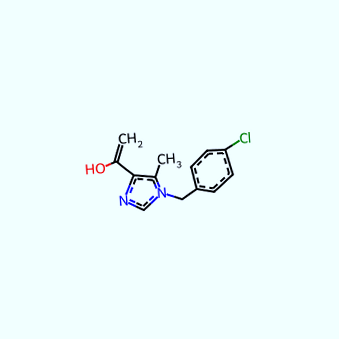 C=C(O)c1ncn(Cc2ccc(Cl)cc2)c1C